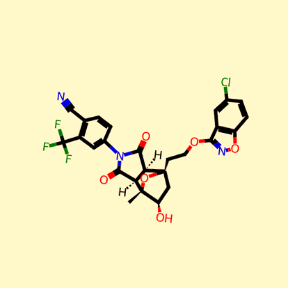 C[C@@]12O[C@@](CCOc3noc4ccc(Cl)cc34)(C[C@H]1O)[C@@H]1C(=O)N(c3ccc(C#N)c(C(F)(F)F)c3)C(=O)[C@@H]12